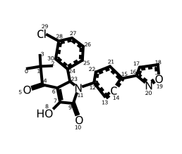 CC(C)(C)C(=O)C1=C(O)C(=O)N(c2ccc(-c3ccon3)cc2)C1c1cccc(Cl)c1